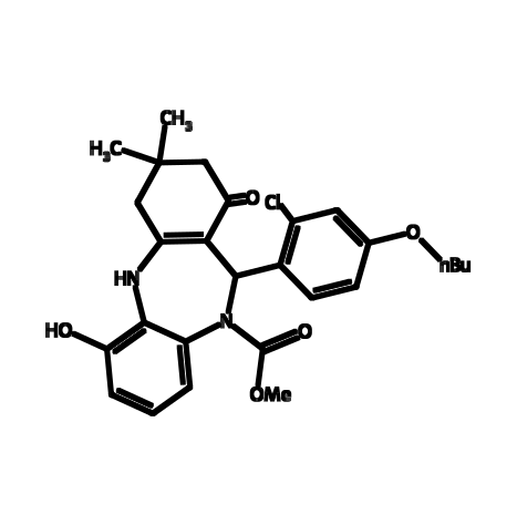 CCCCOc1ccc(C2C3=C(CC(C)(C)CC3=O)Nc3c(O)cccc3N2C(=O)OC)c(Cl)c1